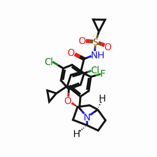 O=C(NS(=O)(=O)C1CC1)c1cc(C2CC2)c(CN2[C@@H]3CC[C@H]2C[C@@H](Oc2cc(Cl)cc(Cl)c2)C3)cc1F